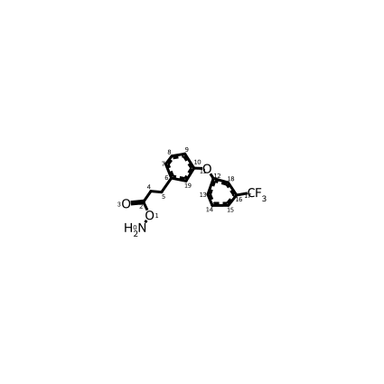 NOC(=O)CCc1cccc(Oc2cccc(C(F)(F)F)c2)c1